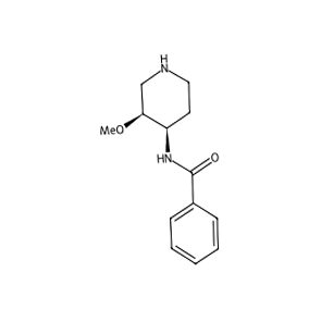 CO[C@H]1CNCC[C@H]1NC(=O)c1ccccc1